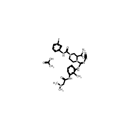 CC(=O)O.Cc1c(NC(=O)CN(C)C)cccc1N/C(=N/C#N)N1CCN(C(=O)Nc2cccc(F)c2)CC1C(C)C